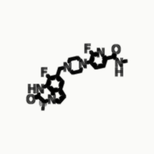 CNC(=O)c1ccc(N2CCN(Cc3cc4ccn5c4c(c3F)NC(=O)[C@@H]5C)CC2)c(F)n1